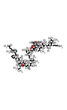 CC[C@H](C)[C@H](NC(=O)[C@@H](NC(=O)[C@@H](NC(=O)[C@H](CCCNC(=N)N)NC(=O)[C@H](CC(=O)O)NC(=O)CNC(=O)[C@@H](NC(=O)[C@H](CO)NC(=O)[C@H](C)NC(=O)[C@H](CO)NC(=O)[C@H](CC(C)C)NC(=O)[C@H](CO)NC(=O)[C@H](CO)NC(=O)[C@@H]1CCCN1C(=O)[C@H](CO)NC(=O)[C@@H](N)CCC(N)=O)C(C)C)C(C)C)[C@@H](C)O)C(=O)N[C@H](C(=O)N[C@@H](CS)C(=O)N[C@@H](CCCCN)C(=O)N[C@@H](C)C(=O)O)[C@@H](C)O